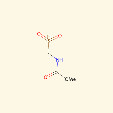 COC(=O)NC[SH](=O)=O